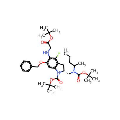 CCCC(C)N(C[C@H]1Cc2c(cc(OCc3ccccc3)c(NCC(=O)OC(C)(C)C)c2F)N1C(=O)OC(C)(C)C)C(=O)OC(C)(C)C